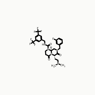 CN(C)CC[C@H]1C(=O)N(Cc2cccc(F)c2)C[C@@H]2N(C(=O)NCc3cc(C(F)(F)F)cc(C(F)(F)F)c3)CCC(=O)N21